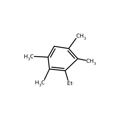 C[CH]c1c(C)c(C)cc(C)c1C